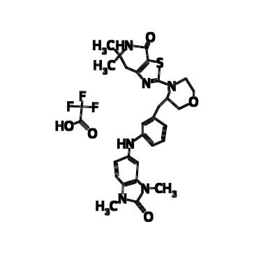 Cn1c(=O)n(C)c2cc(Nc3cccc(CC4COCCN4c4nc5c(s4)C(=O)NC(C)(C)C5)c3)ccc21.O=C(O)C(F)(F)F